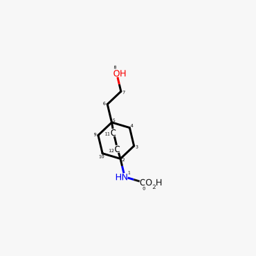 O=C(O)NC12CCC(CCO)(CC1)CC2